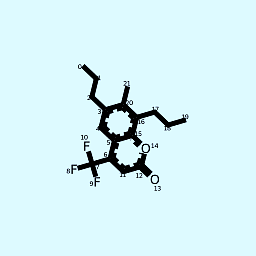 CCCc1cc2c(C(F)(F)F)cc(=O)oc2c(CCC)c1C